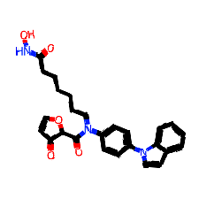 O=C(CCCCCCN(C(=O)C1OC=CC1=O)c1ccc(-n2ccc3ccccc32)cc1)NO